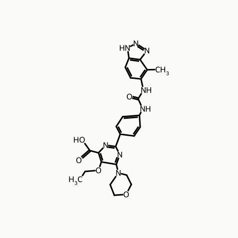 CCOc1c(C(=O)O)nc(-c2ccc(NC(=O)Nc3ccc4[nH]nnc4c3C)cc2)nc1N1CCOCC1